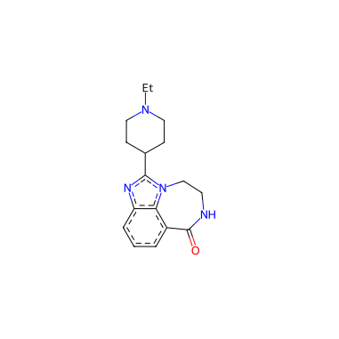 CCN1CCC(c2nc3cccc4c3n2CCNC4=O)CC1